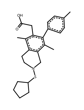 Cc1ccc(-c2c(C)c3c(c(C)c2CC(=O)O)CCN(SC2CCCC2)C3)cc1